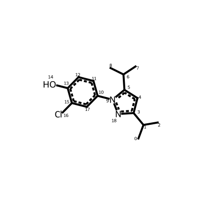 CC(C)c1cc(C(C)C)n(-c2ccc(O)c(Cl)c2)n1